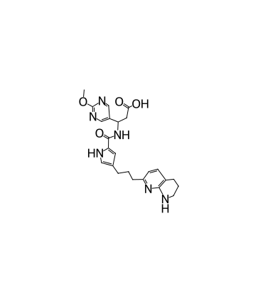 COc1ncc(C(CC(=O)O)NC(=O)c2cc(CCCc3ccc4c(n3)NCCC4)c[nH]2)cn1